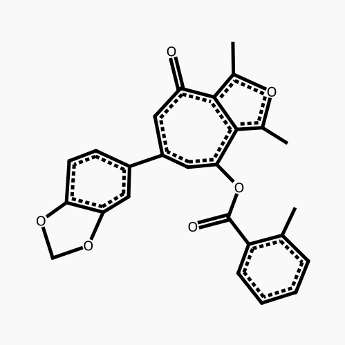 Cc1ccccc1C(=O)Oc1cc(-c2ccc3c(c2)OCO3)cc(=O)c2c(C)oc(C)c12